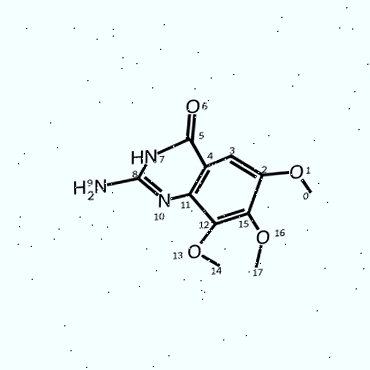 COc1cc2c(=O)[nH]c(N)nc2c(OC)c1OC